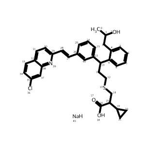 CC(O)Cc1ccccc1C(CCSCC(C(=O)O)C1CC1)c1cccc(C=Cc2ccc3ccc(Cl)cc3n2)c1.[NaH]